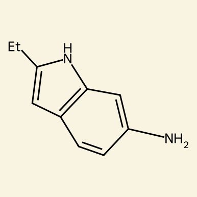 CCc1cc2ccc(N)cc2[nH]1